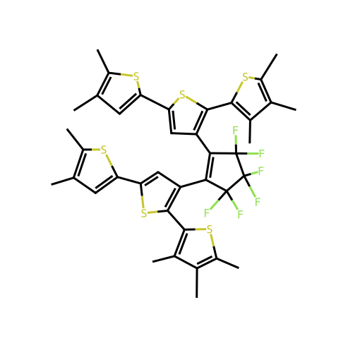 Cc1cc(-c2cc(C3=C(c4cc(-c5cc(C)c(C)s5)sc4-c4sc(C)c(C)c4C)C(F)(F)C(F)(F)C3(F)F)c(-c3sc(C)c(C)c3C)s2)sc1C